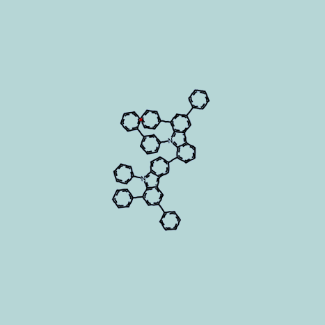 c1ccc(-c2cccc(-n3c4c(-c5ccc6c(c5)c5cc(-c7ccccc7)cc(-c7ccccc7)c5n6-c5ccccc5)cccc4c4cc(-c5ccccc5)cc(-c5ccccc5)c43)c2)cc1